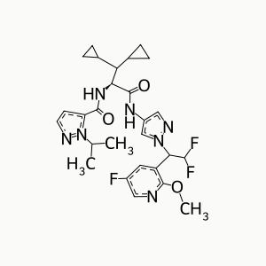 COc1ncc(F)cc1C(C(F)F)n1cc(NC(=O)[C@@H](NC(=O)c2ccnn2C(C)C)C(C2CC2)C2CC2)cn1